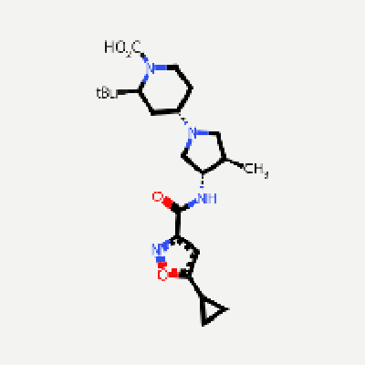 C[C@@H]1CN([C@H]2CCN(C(=O)O)[C@H](C(C)(C)C)C2)C[C@H]1NC(=O)c1cc(C2CC2)on1